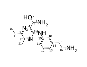 CCc1nc(C(N)O)c(Nc2cccc(CCN)c2)nc1C